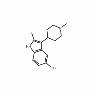 Cc1[nH]c2ccc(O)cc2c1C1CCN(C)CC1